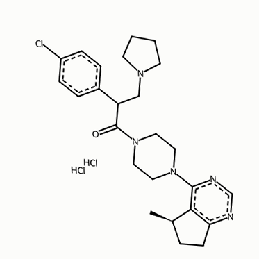 C[C@@H]1CCc2ncnc(N3CCN(C(=O)C(CN4CCCC4)c4ccc(Cl)cc4)CC3)c21.Cl.Cl